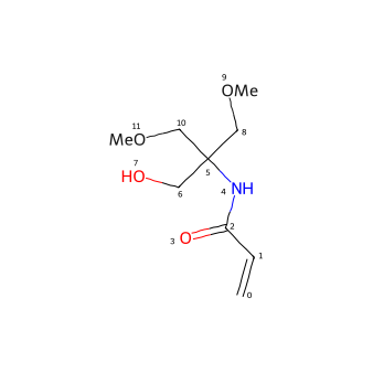 C=CC(=O)NC(CO)(COC)COC